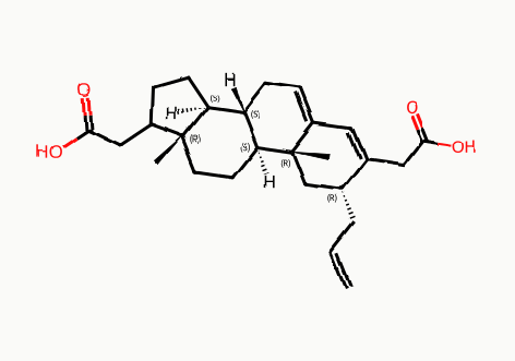 C=CC[C@@H]1C[C@@]2(C)C(=CC[C@@H]3[C@@H]2CC[C@]2(C)C(CC(=O)O)CC[C@@H]32)C=C1CC(=O)O